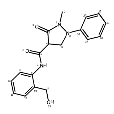 CN1C(=O)C(C(=O)Nc2ccccc2CO)CN1c1ccccc1